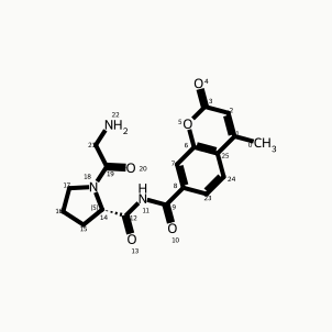 Cc1cc(=O)oc2cc(C(=O)NC(=O)[C@@H]3CCCN3C(=O)CN)ccc12